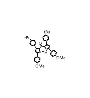 COc1ccc(-c2cc(-c3ccc(C(C)(C)C)cc3)c(C(=O)c3[nH]c(-c4ccc(OC)cc4)cc3-c3ccc(C(C)(C)C)cc3)[nH]2)cc1